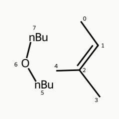 CC=C(C)C.CCCCOCCCC